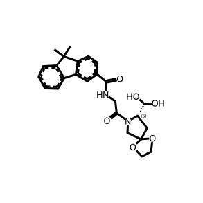 CC1(C)c2ccccc2-c2cc(C(=O)NCC(=O)N3CC4(C[C@H]3C(O)O)OCCO4)ccc21